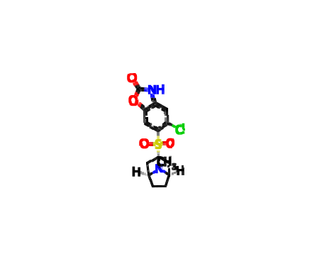 CN1[C@@H]2CC[C@H]1C[C@H](S(=O)(=O)c1cc3oc(=O)[nH]c3cc1Cl)C2